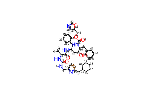 CC(C)[C@H](NC(=O)N(C)Cc1csc(CC2CCCCC2)n1)C(=O)N[C@@H](Cc1ccccc1)C[C@H](O)[C@H](Cc1ccccc1)NC(=O)OCc1cnco1